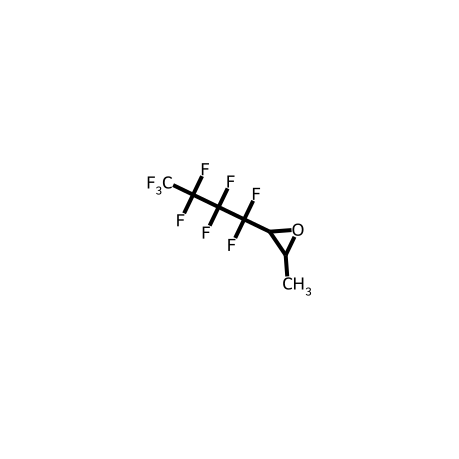 CC1OC1C(F)(F)C(F)(F)C(F)(F)C(F)(F)F